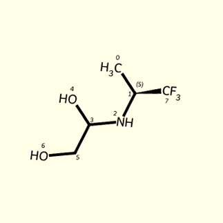 C[C@H](NC(O)CO)C(F)(F)F